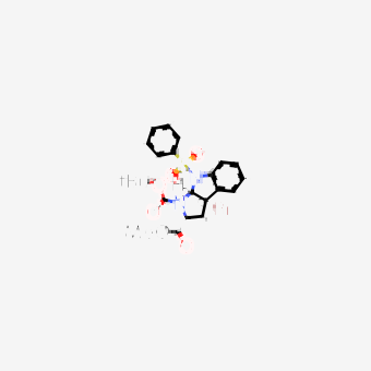 COC(=O)[C@H]1C[C@]2(Br)c3ccccc3N(S(=O)(=O)c3ccccc3)[C@@H]2N1C(=O)OC(C)(C)C